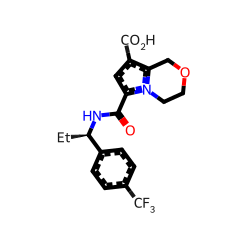 CC[C@@H](NC(=O)c1cc(C(=O)O)c2n1CCOC2)c1ccc(C(F)(F)F)cc1